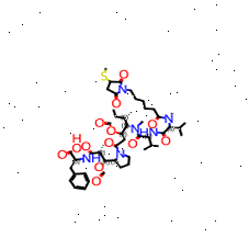 CC[C@H](C)[C@@H]([C@@H](CC(=O)N1CCC[C@H]1[C@H](OC=O)[C@@H](C)C(=O)N[C@@H](Cc1ccccc1)C(=O)O)OC=O)N(C)C(=O)[C@@H](NC(=O)[C@H](C(C)C)N(C)C(=O)CCCCCN1C(=O)CC(SC)C1=O)C(C)C